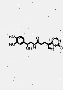 O=C(CCc1cnn2c(=O)nc[nH]c12)NCC(O)c1ccc(O)c(O)c1